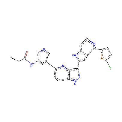 CCC(=O)Nc1cncc(-c2ccc3[nH]nc(-c4cc5c(-c6ccc(F)s6)nccc5[nH]4)c3n2)c1